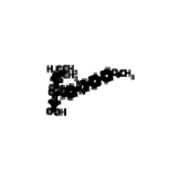 CCO[C@H]1CC[C@H](C2CC=C(c3cnc(-c4ccc(C[C@H](NC(=O)c5ccc(C(C)(C)C)s5)C(=O)N5CC(C(=O)O)C5)cc4)nc3)CC2)CC1